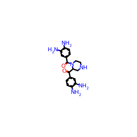 Nc1ccc(C(=O)C2CNCCN2C(=O)c2ccc(N)c(N)c2)cc1N